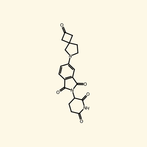 O=C1CC2(CCN(c3ccc4c(c3)C(=O)N(C3CCC(=O)NC3=O)C4=O)C2)C1